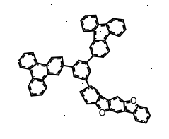 c1ccc2c(c1)oc1cc3c(cc12)oc1ccc(-c2cc(-c4ccc5c6ccccc6c6ccccc6c5c4)cc(-c4ccc5c6ccccc6c6ccccc6c5c4)c2)cc13